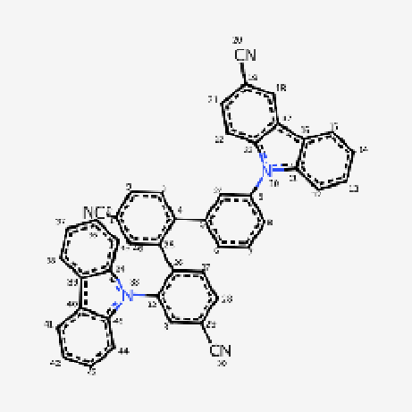 N#Cc1ccc(-c2cccc(-n3c4ccccc4c4cc(C#N)ccc43)c2)c(-c2ccc(C#N)cc2-n2c3ccccc3c3ccccc32)c1